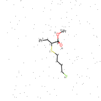 CC(C)CC(SCCCCF)C(=O)OC(C)C